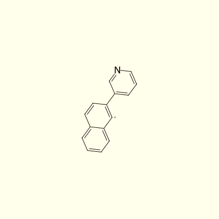 [c]1c(-c2cccnc2)ccc2ccccc12